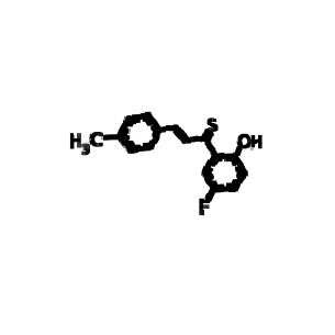 Cc1ccc(C=CC(=S)c2cc(F)ccc2O)cc1